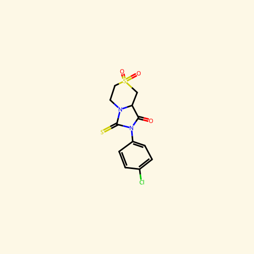 O=C1C2CS(=O)(=O)CCN2C(=S)N1c1ccc(Cl)cc1